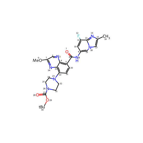 COc1cnc2c(C(=O)Nc3cc(F)c4nc(C)cn4c3)ccc(N3CCN(C(=O)OC(C)(C)C)CC3)c2n1